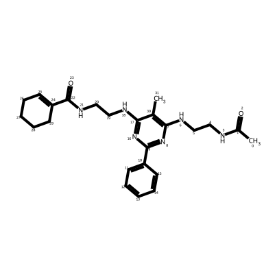 CC(=O)NCCNc1nc(-c2ccccc2)nc(NCCNC(=O)C2=CCCCC2)c1C